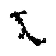 CC(=O)COCNC(=O)CNC(=O)[C@H](Cc1ccccc1)NC(=O)CNC(=O)CNC(=O)CCOCCCN(CCCOCCC(=O)NCC(=O)NCC(=O)N[C@@H](Cc1ccccc1)C(=O)NCC(=O)NCOCC(C)=O)C(=O)CCCCCN1C(=O)C=CC1=O